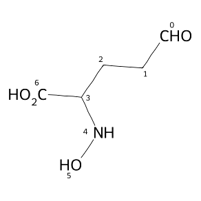 O=CCCC(NO)C(=O)O